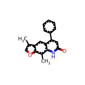 Cc1coc2c(C)c3[nH]c(=O)cc(-c4ccccc4)c3cc12